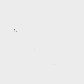 COc1ccc(OC)c(-c2cccc3c2C(SC)C(=O)N3)c1